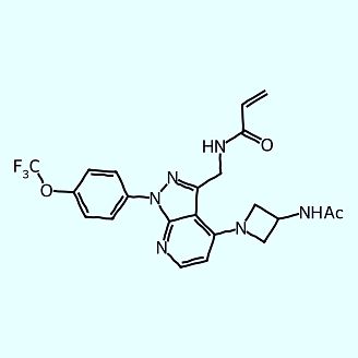 C=CC(=O)NCc1nn(-c2ccc(OC(F)(F)F)cc2)c2nccc(N3CC(NC(C)=O)C3)c12